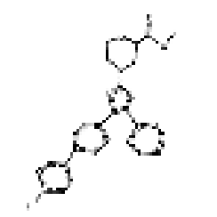 COC(=O)C1CN(c2nc(-c3ccccc3)c(-c3ccc(-c4ccc(F)cc4)cc3)s2)CCO1